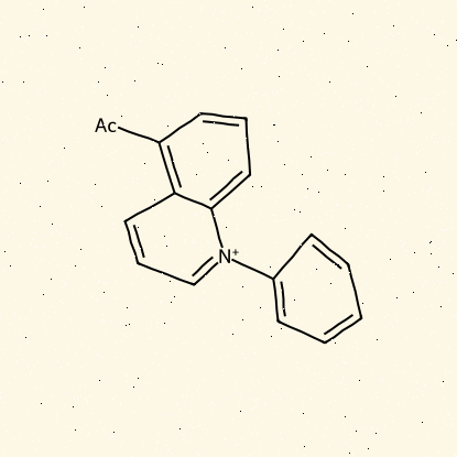 CC(=O)c1cccc2c1ccc[n+]2-c1ccccc1